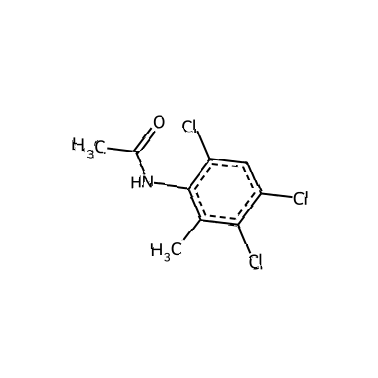 CC(=O)Nc1c(Cl)cc(Cl)c(Cl)c1C